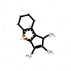 CC1=C(C)C(C)c2c1sc1c2CCCC1